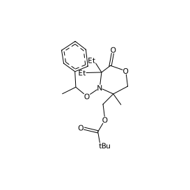 CCC1(CC)C(=O)OCC(C)(COC(=O)C(C)(C)C)N1OC(C)c1ccccc1